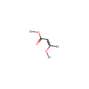 CCOC(=O)/C=C(/CC)OCC